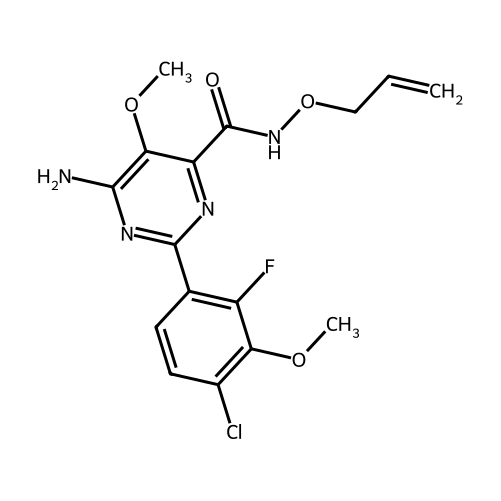 C=CCONC(=O)c1nc(-c2ccc(Cl)c(OC)c2F)nc(N)c1OC